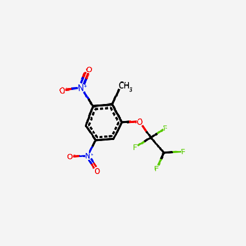 Cc1c(OC(F)(F)C(F)F)cc([N+](=O)[O-])cc1[N+](=O)[O-]